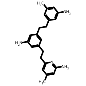 Cc1cc(N)cc(CCc2cc(N)cc(CCc3cc(C)cc(N)n3)c2)c1